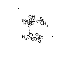 CC/C(=C(\c1ccccc1)c1ccc(OCCN(C)C(=O)CCCCCCCC(=O)N[C@H](C(=O)N2C[C@H](O)C[C@H]2C(=O)NCc2ccc(-c3scnc3C)cc2)C(C)(C)C)cc1)c1ccccc1